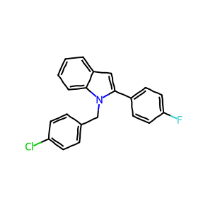 Fc1ccc(-c2cc3ccccc3n2Cc2ccc(Cl)cc2)cc1